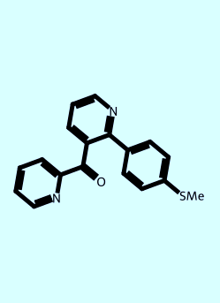 CSc1ccc(-c2ncccc2C(=O)c2ccccn2)cc1